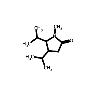 CC(C)C1CC(=O)N(C)C1C(C)C